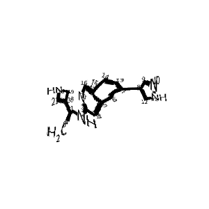 C=C(Nc1cc2cc(-c3cn[nH]c3)ccc2cn1)C1CNC1